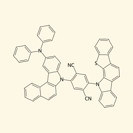 N#Cc1cc(-n2c3ccccc3c3ccc4c5ccccc5sc4c32)c(C#N)cc1-n1c2ccc(N(c3ccccc3)c3ccccc3)cc2c2c3ccccc3ccc21